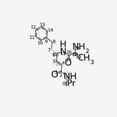 CC(C)NC(=O)/C=C/[C@H](CCc1ccccc1)NC(=O)[C@H](C)N